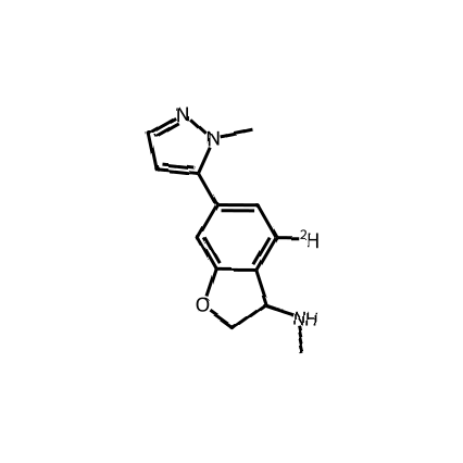 [2H]c1cc(-c2ccnn2C)cc2c1C(NC)CO2